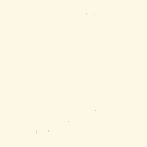 Cc1cc2c(OO)cccc2cc1OO